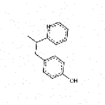 CC(Cc1ccc(O)cc1)c1ccccn1